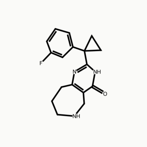 O=c1[nH]c(C2(c3cccc(F)c3)CC2)nc2c1CNCCC2